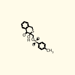 Cc1ccc(S(=O)(=O)OCC2(O)SCc3ccccc3C2=O)cc1